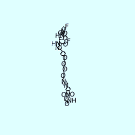 O=C1CCC(N2C(=O)c3ccc(N4CCN(CCOCCOCCOCCOc5ccc(-c6cnc7[nH]cc(C(=O)c8c(F)ccc(NS(=O)(=O)N9CC[C@@H](F)C9)c8F)c7c6)cc5)CC4)cc3C2=O)CN1